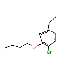 CCCCOc1cc(CC)ccc1Br